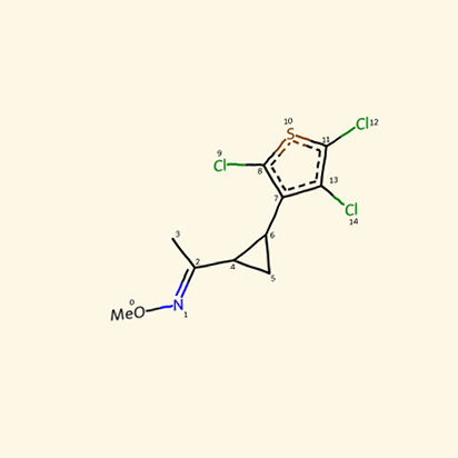 CON=C(C)C1CC1c1c(Cl)sc(Cl)c1Cl